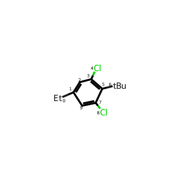 CCc1cc(Cl)c(C(C)(C)C)c(Cl)c1